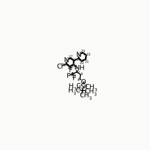 CC(C)(C)[Si](C)(C)OCCC(Nc1cc(Cl)ncc1-c1ccccn1)C(F)(F)F